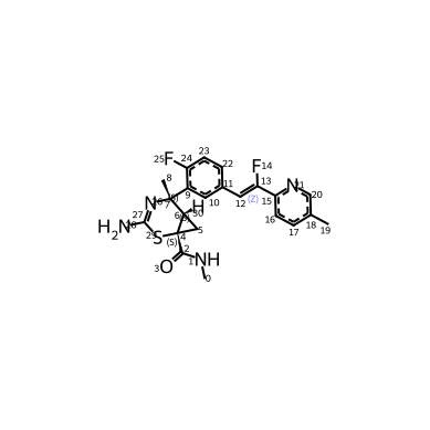 CNC(=O)[C@]12C[C@H]1[C@@](C)(c1cc(/C=C(\F)c3ccc(C)cn3)ccc1F)N=C(N)S2